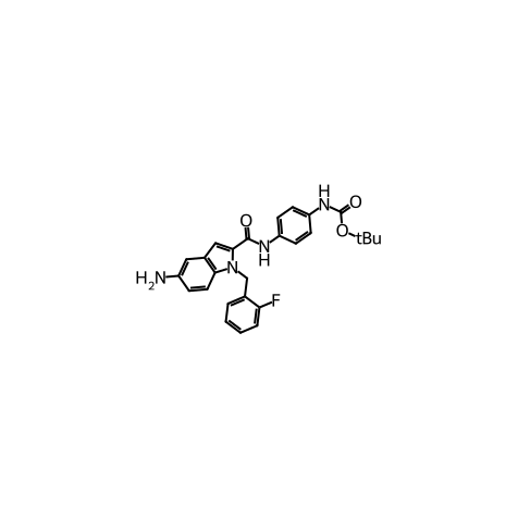 CC(C)(C)OC(=O)Nc1ccc(NC(=O)c2cc3cc(N)ccc3n2Cc2ccccc2F)cc1